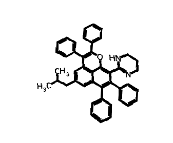 CC(C)Cc1cc2c3c(c(C4=NCCCN4)c(-c4ccccc4)c(-c4ccccc4)c3c1)OC(c1ccccc1)=C2c1ccccc1